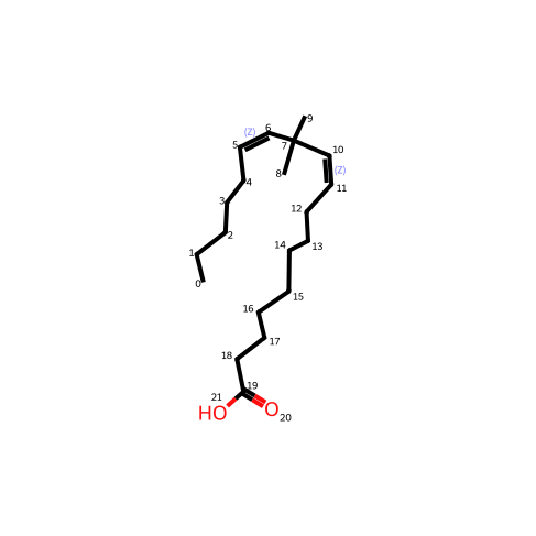 CCCCC/C=C\C(C)(C)/C=C\CCCCCCCC(=O)O